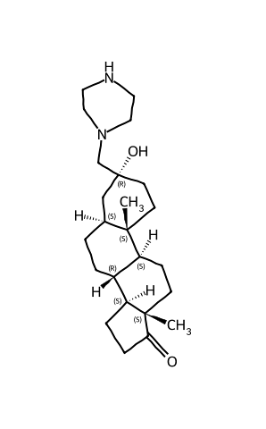 C[C@]12CC[C@](O)(CN3CCNCC3)C[C@@H]1CC[C@@H]1[C@@H]2CC[C@]2(C)C(=O)CC[C@@H]12